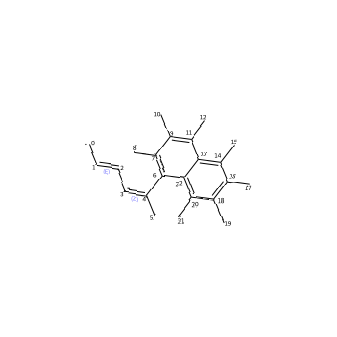 [CH2]/C=C/C=C(/C)c1c(C)c(C)c(C)c2c(C)c(C)c(C)c(C)c12